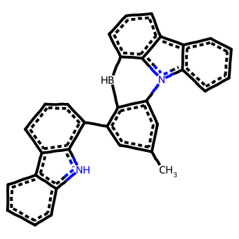 Cc1cc(-c2cccc3c2[nH]c2ccccc23)c2c(c1)-n1c3ccccc3c3cccc(c31)B2